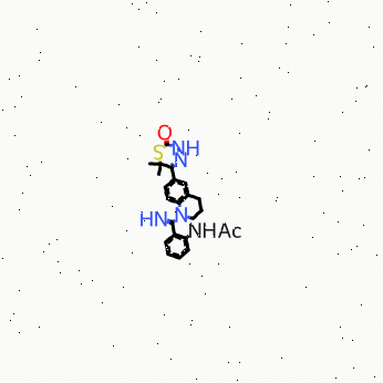 CC(=O)Nc1ccccc1C(=N)N1CCCc2cc(C3=NNC(=O)SC3(C)C)ccc21